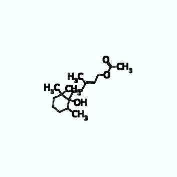 CC(=O)OC/C=C(C)/C=C/C1(O)C(C)CCCC1(C)C